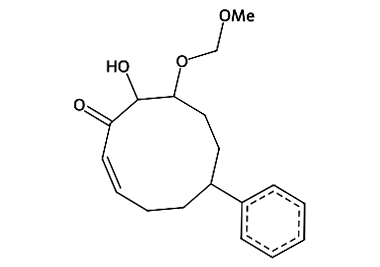 COCOC1CCC(c2ccccc2)CCC=CC(=O)C1O